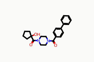 O=C(c1ccc(-c2ccccc2)cc1)N1CCN(C(=O)C2(O)CCCC2)CC1